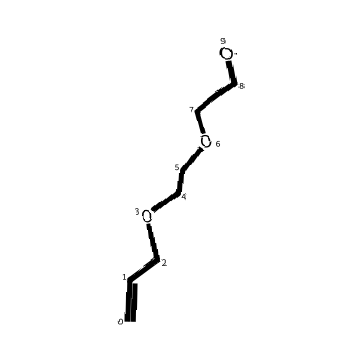 C=CCOCCOCC[O]